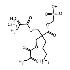 C=C(C)C(=O)OCC(CCCC)(COC(=O)C(=C)C)C(=O)OCS(=O)(=O)O.[CaH2]